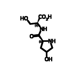 O=C(N[C@H](CO)C(=O)O)[C@@H]1CC(O)CN1